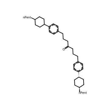 CCCCCC1CCC(c2ccc(CCCC(=O)CCCc3ccc([C@H]4CC[C@H](CCCCC)CC4)cc3)cc2)CC1